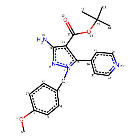 COc1ccc(Cn2nc(N)c(C(=O)OC(C)(C)C)c2-c2ccncc2)cc1